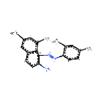 Nc1ccc2cc(S(=O)(=O)O)cc([N+](=O)[O-])c2c1/N=N/c1ccc([N+](=O)[O-])cc1S(=O)(=O)O